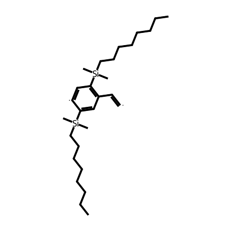 [CH]=Cc1cc([Si](C)(C)CCCCCCCC)[c]cc1[Si](C)(C)CCCCCCCC